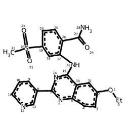 CCOc1ccc2nc(-c3cccnc3)nc(Nc3cc(S(C)(=O)=O)ccc3C(N)=O)c2c1